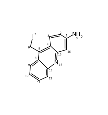 Nc1ccc2c(CI)c3ccccc3nc2c1